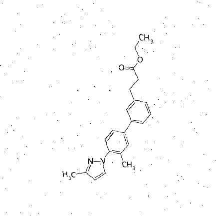 CCOC(=O)CCc1cccc(-c2ccc(-n3ccc(C)n3)c(C)c2)c1